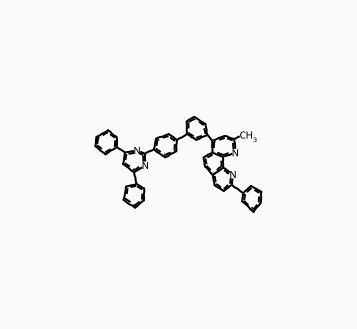 Cc1cc(-c2cccc(-c3ccc(-c4nc(-c5ccccc5)cc(-c5ccccc5)n4)cc3)c2)c2ccc3ccc(-c4ccccc4)nc3c2n1